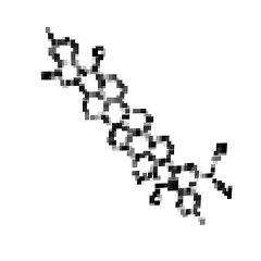 C=c1cc2c3ccc4c5ccc6c7ccc8c(=O)n9c%10ccc(C)cc%10c(=C(C#N)C#N)cc9c9ccc(c%10ccc(c%11ccc(c(=O)n2c2ccc(C)cc12)c3c4%11)c5c6%10)c7c89